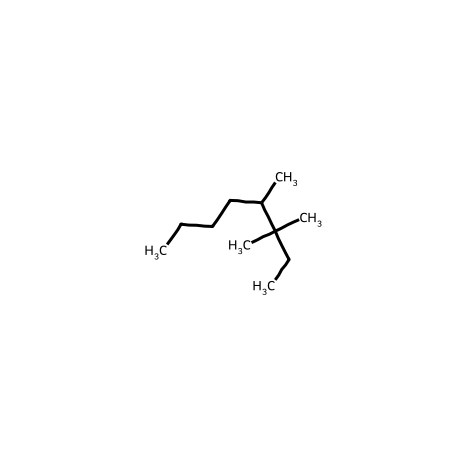 CCCCC(C)C(C)(C)CC